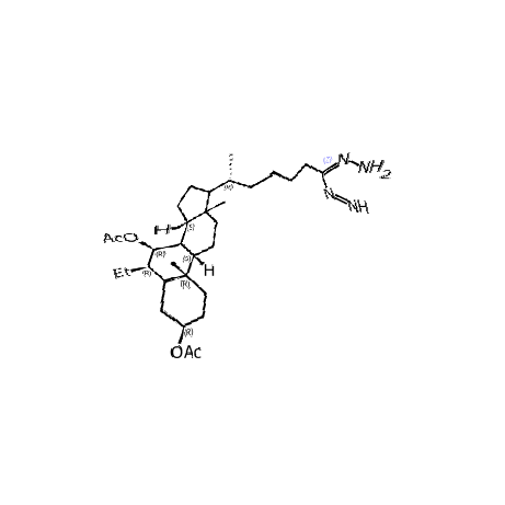 CC[C@@H]1C2C[C@H](OC(C)=O)CC[C@@]2(C)[C@H]2CCC3(C)C([C@H](C)CCCC/C(N=N)=N/N)CC[C@H]3C2[C@@H]1OC(C)=O